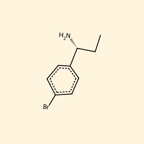 CC[C@@H](N)c1ccc(Br)cc1